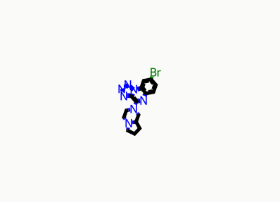 Brc1ccc2nc(N3CCN4CCCC4C3)c3nnnn3c2c1